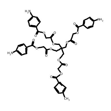 Cc1ccc(C(=O)OCC(=O)OCC(COC(=O)COC(=O)c2ccc(N)cc2)(COC(=O)COC(=O)c2ccc(N)cc2)COC(=O)COC(=O)c2ccc(N)cc2)cc1